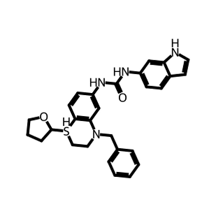 O=C(Nc1ccc2c(c1)N(Cc1ccccc1)CC[SH]2C1CCCO1)Nc1ccc2cc[nH]c2c1